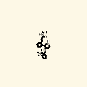 CN(C)CC1(CNC2CCNCC2c2ccccc2/C=C/C(=O)NO)CCCC1